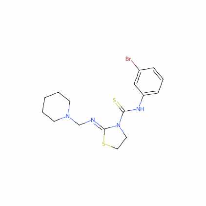 S=C(Nc1cccc(Br)c1)N1CCSC1=NCN1CCCCC1